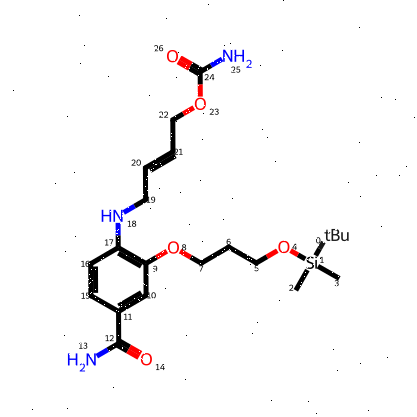 CC(C)(C)[Si](C)(C)OCCCOc1cc(C(N)=O)ccc1NC/C=C/COC(N)=O